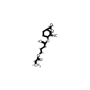 [C-]#[N+]C12CC(CCC1OC(=O)CCCOC(=O)C=C)C(=O)O2